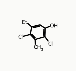 CCc1cc(O)c(Cl)c(C)c1Cl